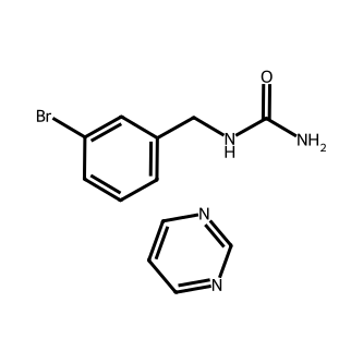 NC(=O)NCc1cccc(Br)c1.c1cncnc1